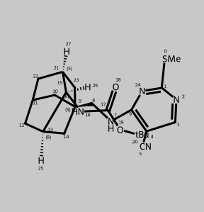 CSc1ncc(C#N)c(NC[C@]23CC4C[C@H](C2)[C@H](NC(=O)OC(C)(C)C)[C@@H](C4)C3)n1